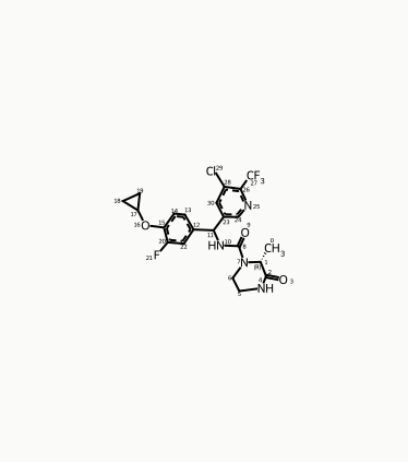 C[C@@H]1C(=O)NCCN1C(=O)NC(c1ccc(OC2CC2)c(F)c1)c1cnc(C(F)(F)F)c(Cl)c1